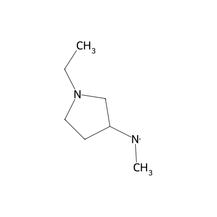 CCN1CCC([N]C)C1